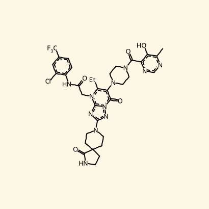 CCc1c(N2CCN(C(=O)c3ncnc(C)c3O)CC2)c(=O)n2nc(N3CCC4(CCNC4=O)CC3)nc2n1CC(=O)Nc1ccc(C(F)(F)F)cc1Cl